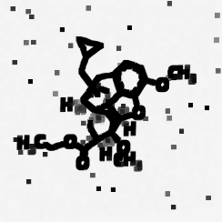 CCOC(=O)[C@H]1C[C@@]23CC[C@]1(OC)[C@@H]1Oc4c(OC)ccc5c4[C@@]12CCN(CC1CC1)[C@@H]3C5